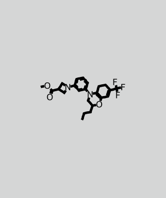 CCCC1CN(c2cccc(N3CC(C(=O)OC)C3)c2)C2=C(C=C(C(F)(F)F)CC2)O1